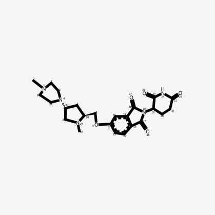 CN1CCN([C@@H]2C[C@@H](COc3ccc4c(c3)C(=O)N(C3CCC(=O)NC3=O)C4=O)N(C)C2)CC1